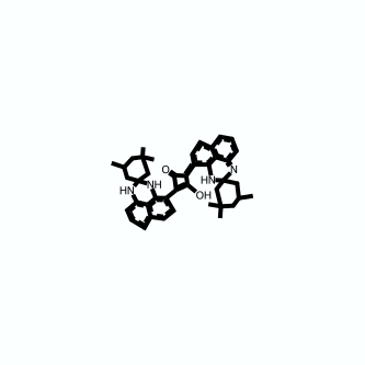 CC1CC(C)(C)CC2(C1)N=c1cccc3cc/c(=C4\C(=O)C(c5ccc6cccc7c6c5NC5(CC(C)CC(C)(C)C5)N7)=C4O)c(c13)N2